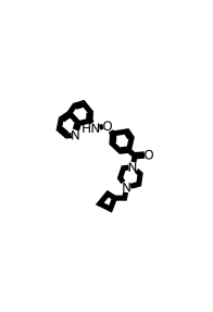 O=C(c1ccc(ONc2cccc3cccnc23)cc1)N1CCN(CC2CCC2)CC1